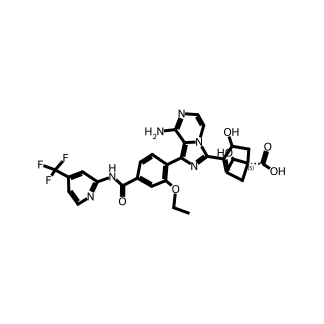 CCOc1cc(C(=O)Nc2cc(C(F)(F)F)ccn2)ccc1-c1nc(C2=C3C[C@](C(=O)O)(CC2O)C3O)n2ccnc(N)c12